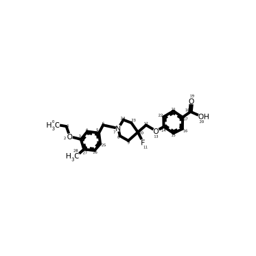 CCOc1cc(CN2CCC(F)(COc3ccc(C(=O)O)cc3)CC2)ccc1C